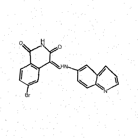 O=C1NC(=O)c2ccc(Br)cc2C1=CNc1ccc2ncccc2c1